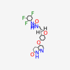 O=C1CCc2c(Oc3ccc4c(c3)[C@H]3/C(=C\NC(=O)Nc5cc(F)cc(F)c5F)[C@H]3O4)ccnc2N1